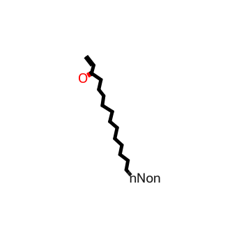 C=CC(=O)CCCCCCCCCCCCCCCCCCCCC